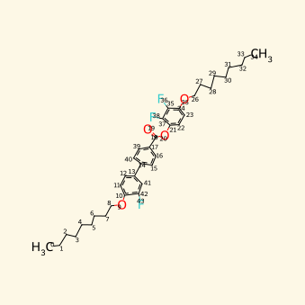 CCCCCCCCCOc1ccc(-c2ccc(C(=O)Oc3ccc(OCCCCCCCCC)c(F)c3F)cc2)cc1F